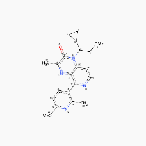 COCC(C1CC1)n1c(=O)c(C)nc2c(-c3ccc(OC)nc3C)nccc21